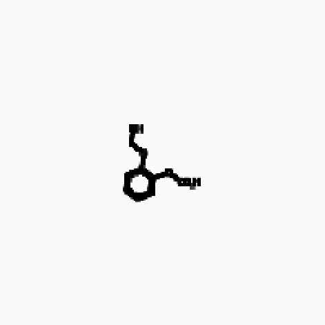 O=C(O)Oc1ccccc1OCO